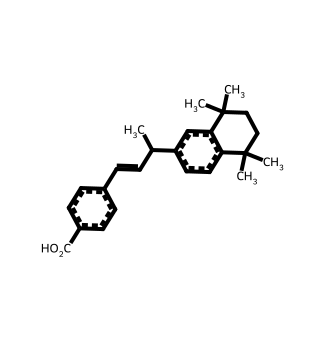 CC(C=Cc1ccc(C(=O)O)cc1)c1ccc2c(c1)C(C)(C)CCC2(C)C